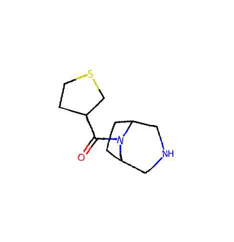 O=C(C1CCSC1)N1C2CCC1CNC2